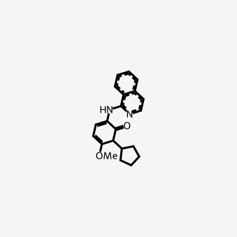 COC1=CC=C(Nc2nccc3ccccc23)C(=O)C1C1CCCC1